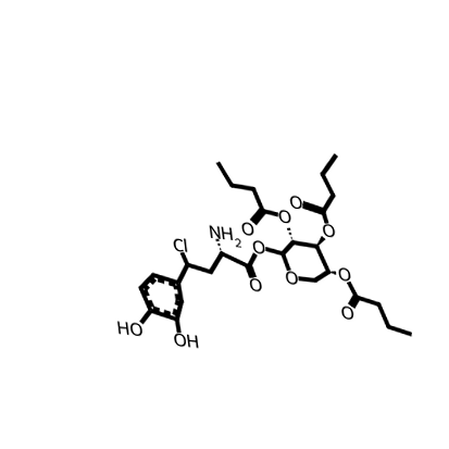 CCCC(=O)O[C@H]1[C@H](OC(=O)CCC)COC(OC(=O)[C@@H](N)CC(Cl)c2ccc(O)c(O)c2)[C@@H]1OC(=O)CCC